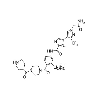 Cn1c(-c2cn(CC(N)=O)nc2C(F)(F)F)cnc1C(=O)Nc1ccc(C(=O)N2CCN(C(=O)C3CCNCC3)CC2)c(Cl)c1.O=CO